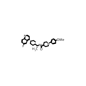 COc1ccc(N2CCC(C(=O)N[C@H](C)[C@H]3CC[C@@H](c4ccnc5ccc(F)cc54)CC3)CC2)cc1